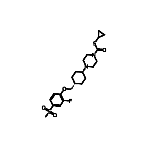 CS(=O)(=O)c1ccc(OC[C@H]2CC[C@H](N3CCN(C(=O)SC4CC4)CC3)CC2)c(F)c1